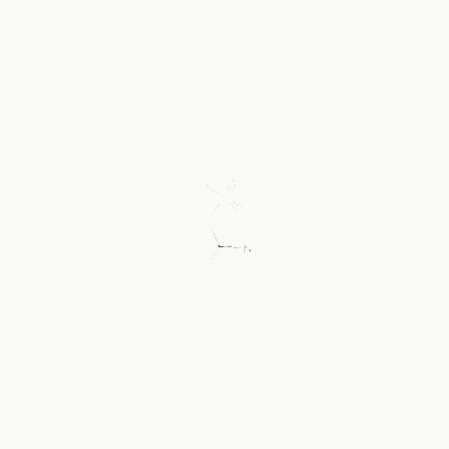 CC(N)SS(C)(=O)=O